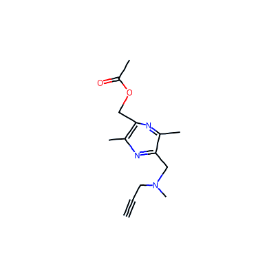 C#CCN(C)Cc1nc(C)c(COC(C)=O)nc1C